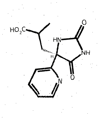 CC(C[C@]1(c2ccccn2)NC(=O)NC1=O)C(=O)O